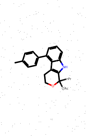 CCCC1(OC(C)=O)OCCc2c1[nH]c1cccc(-c3ccc(C)cc3)c21